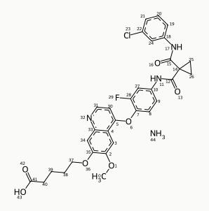 COc1cc2c(Oc3ccc(NC(=O)C4(C(=O)Nc5cccc(Cl)c5)CC4)cc3F)ccnc2cc1OCCCCC(=O)O.N